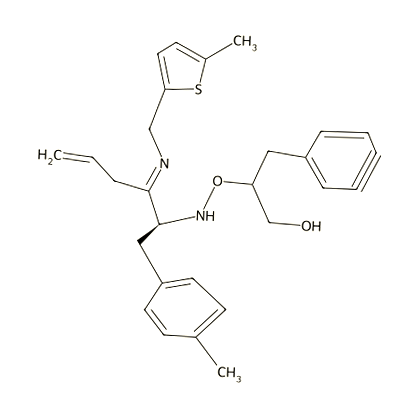 C=CC/C(=N\Cc1ccc(C)s1)[C@H](Cc1ccc(C)cc1)NOC(CO)Cc1cc#ccc1